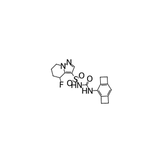 O=C(Nc1c2c(cc3c1CC3)CC2)NS(=O)(=O)c1cnn2c1C(F)CCC2